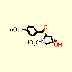 CCCCCCCCc1ccc(C(=O)[C@@H]2C[C@@H](O)CN2C(=O)O)cc1